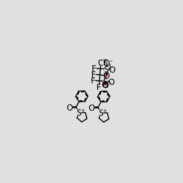 O=C(c1ccccc1)[S+]1CCCC1.O=C(c1ccccc1)[S+]1CCCC1.O=S(=O)([O-])C(F)(F)C(F)(F)C(F)(C(F)(F)F)S(=O)(=O)[O-]